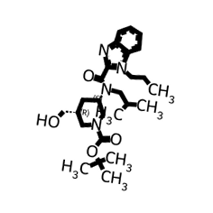 CCCn1c(C(=O)N(CC(C)C)[C@H]2C[C@@H](CO)CN(C(=O)OC(C)(C)C)C2)nc2ccccc21